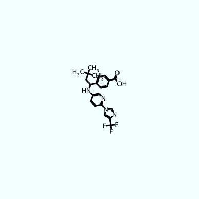 CC(C)(C)CC(Nc1ccc(-n2cnc(C(F)(F)F)c2)nc1)c1ccc(C(=O)O)cc1